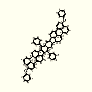 c1ccc(Oc2ccc3c4ccc5c6cc7c(-c8ccccc8)c8c9ccc%10c%11cccc%12c(Oc%13ccccc%13)ccc(c%13ccc(c8c(-c8ccccc8)c7cc6c6ccc(c7cccc2c37)c4c56)c9c%10%13)c%12%11)cc1